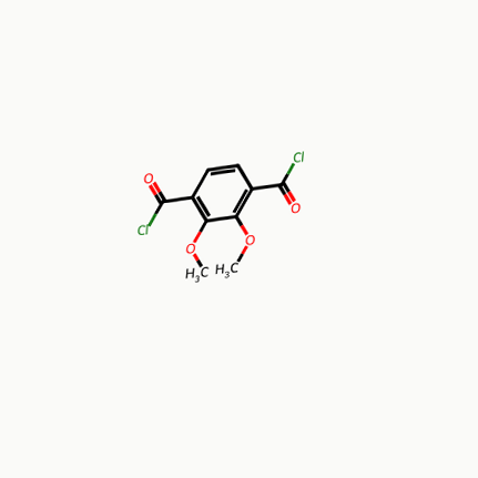 COc1c(C(=O)Cl)ccc(C(=O)Cl)c1OC